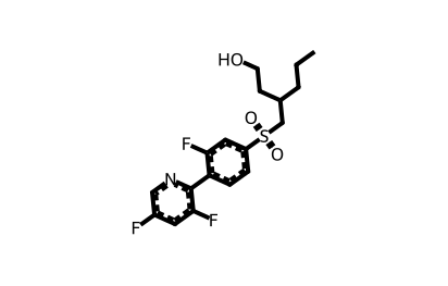 CCCC(CCO)CS(=O)(=O)c1ccc(-c2ncc(F)cc2F)c(F)c1